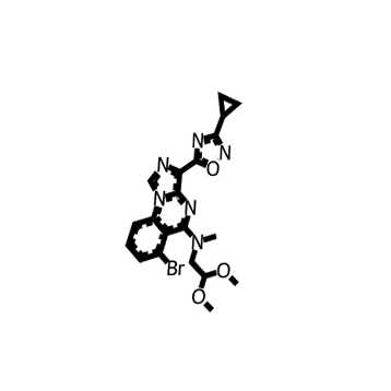 COC(CN(C)c1nc2c(-c3nc(C4CC4)no3)ncn2c2cccc(Br)c12)OC